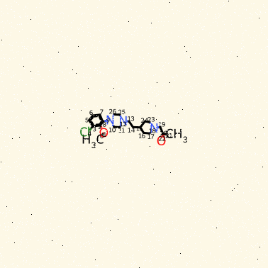 COc1c(Cl)cccc1N1CCN(CCC2CCN(CC(C)=O)CC2)CC1